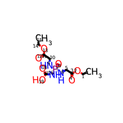 CCOC(=O)CNP(=O)(NCC(=O)OCC)NC(=O)O